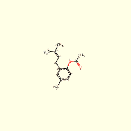 CC(=O)Oc1ccc(C)cc1CC=C(C)C